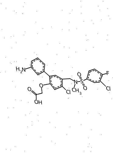 CN(Cc1cc(-c2cccc(N)c2)c(OCC(=O)O)cc1Cl)S(=O)(=O)c1ccc(F)c(Cl)c1